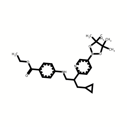 CCOC(=O)c1ccc(NCC(CC2CC2)c2ccc(B3OC(C)(C)C(C)(C)O3)cn2)cc1